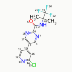 CC(C)(NC(=O)c1ncc(-c2ccnc(Cl)c2)cn1)C(F)(F)F